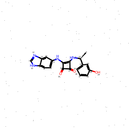 C[C@H](Nc1c(Nc2ccc3[nH]cnc3c2)c(=O)c1=O)c1cccc(O)c1